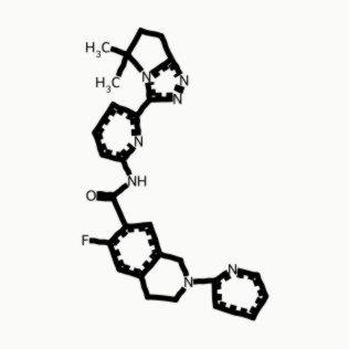 CC1(C)CCc2nnc(-c3cccc(NC(=O)c4cc5c(cc4F)CCN(c4ccccn4)C5)n3)n21